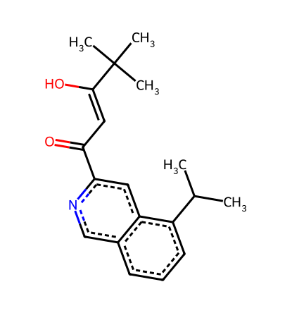 CC(C)c1cccc2cnc(C(=O)/C=C(\O)C(C)(C)C)cc12